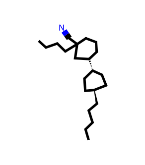 CCCCC[C@H]1CC[C@H](C2CCCC(C#N)(CCCC)C2)CC1